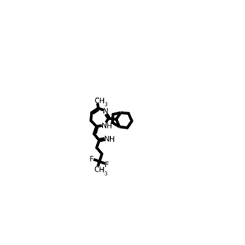 CC1=CC/C(=C/C(=N)CCC(C)(F)F)NC(C2C3CCCC2CC3)=N1